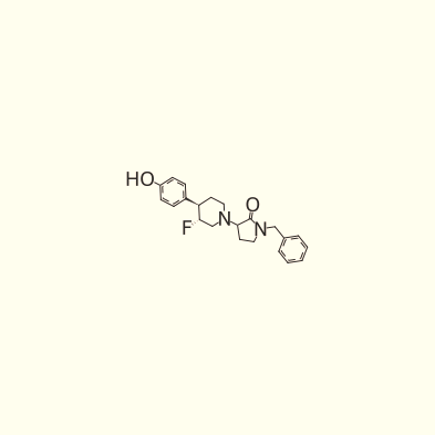 O=C1C(N2CC[C@H](c3ccc(O)cc3)[C@@H](F)C2)CCN1Cc1ccccc1